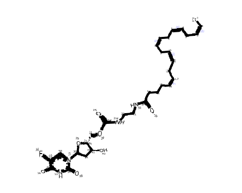 CC/C=C\C/C=C\C/C=C\C/C=C\C/C=C\CCCC(=O)NCCNC(=O)OC[C@H]1OC(n2cc(F)c(=O)[nH]c2=O)C[C@@H]1O